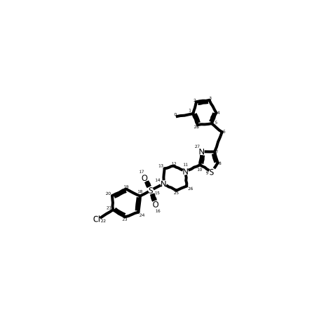 Cc1cccc(Cc2csc(N3CCN(S(=O)(=O)c4ccc(Cl)cc4)CC3)n2)c1